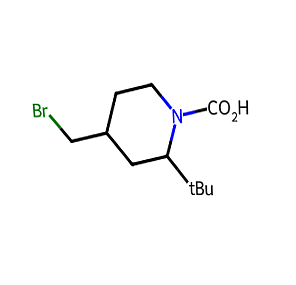 CC(C)(C)C1CC(CBr)CCN1C(=O)O